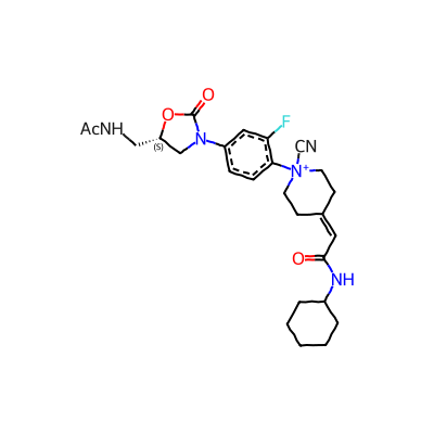 CC(=O)NC[C@H]1CN(c2ccc([N+]3(C#N)CCC(=CC(=O)NC4CCCCC4)CC3)c(F)c2)C(=O)O1